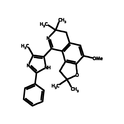 COc1cc2c(c3c1OC(C)(C)C3)C(c1[nH]c(-c3ccccc3)nc1C)=NC(C)(C)C2